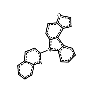 c1ccc2nc(-n3c4ccccc4c4c5ccoc5ccc43)ccc2c1